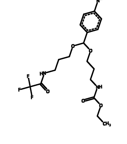 CCOC(=O)NCCCOC(OCCCNC(=O)C(F)(F)F)c1ccc([N+](=O)[O-])cc1